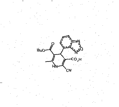 CC1=C(C(=O)OCC(C)C)C(c2cccc3nonc23)C(C(=O)O)=C(C#N)N1